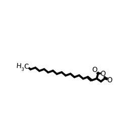 CCCCCCCCCCCCCCC=CC1CC(=O)OC1=O